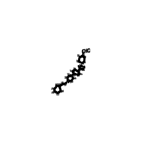 O=C[C@H]1CC[C@H](c2nnc(-c3ccc(N4CCN(CCC5CCCCC5)CC4)cc3)s2)CC1